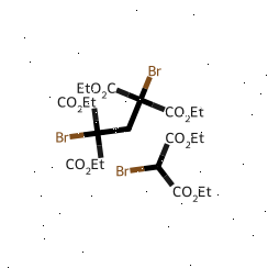 CCOC(=O)C(Br)(CC(Br)(C(=O)OCC)C(=O)OCC)C(=O)OCC.CCOC(=O)C(Br)C(=O)OCC